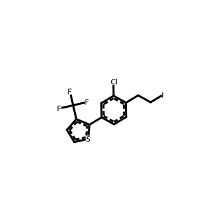 FC(F)(F)c1ccsc1-c1ccc(CCI)c(Cl)c1